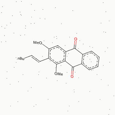 CCCCC=Cc1c(OC)cc2c(c1OC)C(=O)c1ccccc1C2=O